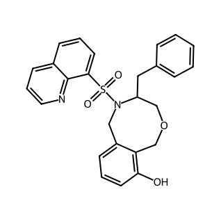 O=S(=O)(c1cccc2cccnc12)N1Cc2cccc(O)c2COCC1Cc1ccccc1